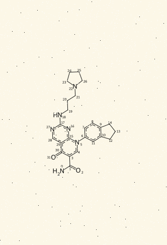 NC(=O)c1cn(-c2ccc3c(c2)CCC3)c2nc(NCCCN3CCCC3)ncc2c1=O